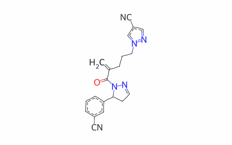 C=C(CCCn1cc(C#N)cn1)C(=O)N1N=CCC1c1cccc(C#N)c1